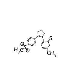 CC1=CC=C(C2=C(c3ccc(S(C)(=O)=O)cc3)CCC2)C(=S)C1